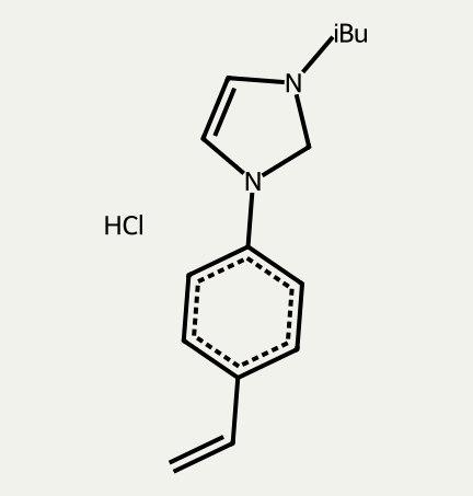 C=Cc1ccc(N2C=CN(C(C)CC)C2)cc1.Cl